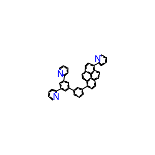 c1ccc(-c2cc(-c3cccc(-c4ccc5ccc6c(-c7ccccn7)ccc7ccc4c5c76)c3)cc(-c3ccccn3)c2)nc1